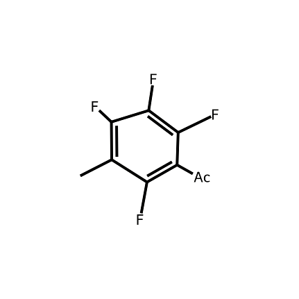 CC(=O)c1c(F)c(C)c(F)c(F)c1F